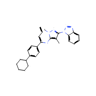 C=C/C=C(\Nc1c(C)c(-n2nnc3ccccc32)nn1C)c1ccc(C2CCCCC2)cc1